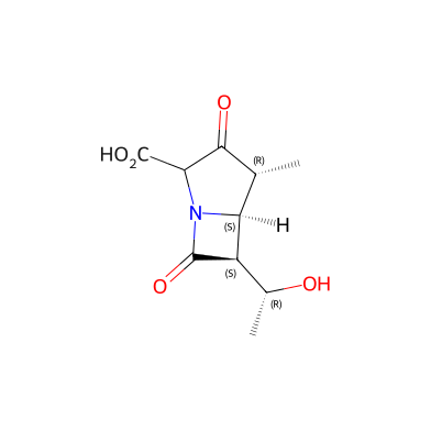 C[C@@H](O)[C@H]1C(=O)N2C(C(=O)O)C(=O)[C@H](C)[C@@H]12